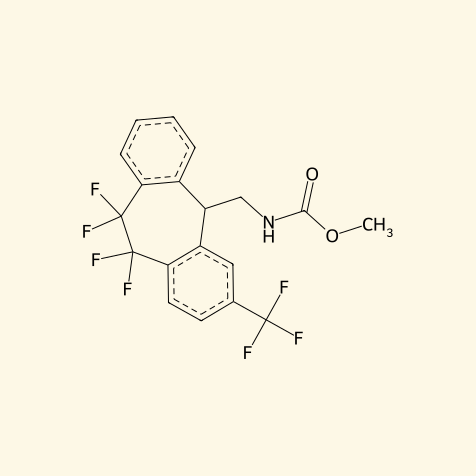 COC(=O)NCC1c2ccccc2C(F)(F)C(F)(F)c2ccc(C(F)(F)F)cc21